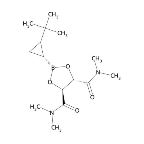 CN(C)C(=O)[C@H]1OB([C@@H]2CC2C(C)(C)C)O[C@@H]1C(=O)N(C)C